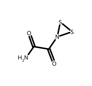 NC(=O)C(=O)n1ss1